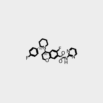 O=S(=O)(Nc1ncccn1)c1cc2c(cc1F)[C@H](N1CCCC[C@H]1c1ccc(F)cc1)CCO2